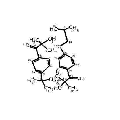 CC(C)(O)C(=O)c1ccc(C(C)(C)C)cc1.CC(O)COc1ccc(C(=O)C(C)(C)O)cc1